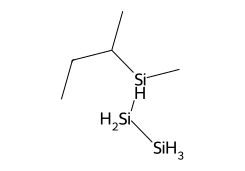 CCC(C)[SiH](C)[SiH2][SiH3]